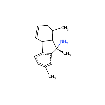 Cc1ccc2c(c1)[C@@](C)(N)C1C(C)CC=CC21